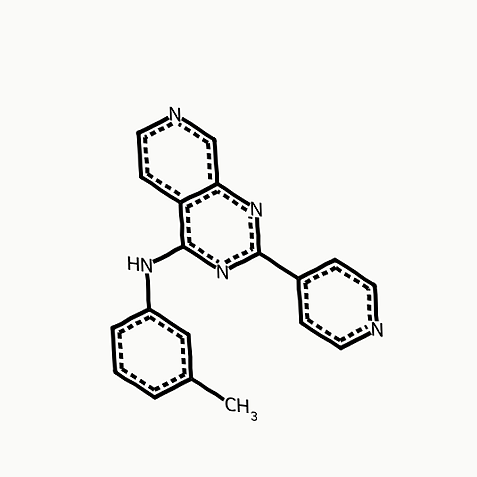 Cc1cccc(Nc2nc(-c3ccncc3)nc3cnccc23)c1